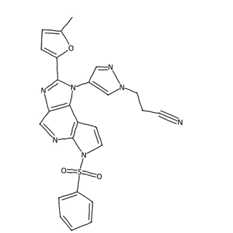 Cc1ccc(-c2nc3cnc4c(ccn4S(=O)(=O)c4ccccc4)c3n2-c2cnn(CCC#N)c2)o1